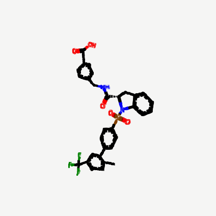 Cc1ccc(C(F)(F)F)cc1-c1ccc(S(=O)(=O)N2c3ccccc3C[C@H]2C(=O)NCc2ccc(C(=O)O)cc2)cc1